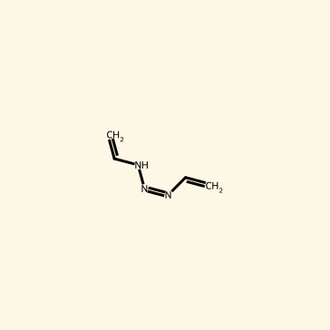 C=C/N=N\NC=C